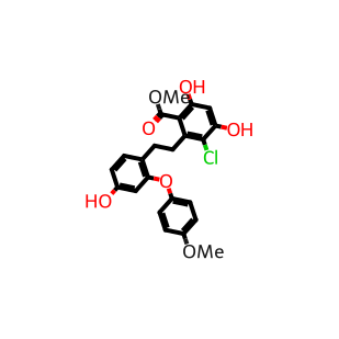 COC(=O)c1c(O)cc(O)c(Cl)c1CCc1ccc(O)cc1Oc1ccc(OC)cc1